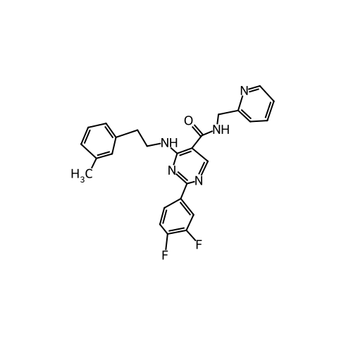 Cc1cccc(CCNc2nc(-c3ccc(F)c(F)c3)ncc2C(=O)NCc2ccccn2)c1